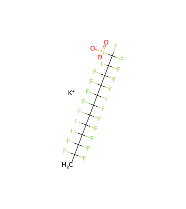 CC(F)(F)C(F)(F)C(F)(F)C(F)(F)C(F)(F)C(F)(F)C(F)(F)C(F)(F)C(F)(F)C(F)(F)C(F)(F)S(=O)(=O)[O-].[K+]